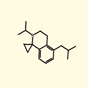 CC(C)Cc1cccc2c1CCN(C(C)C)C21CC1